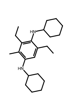 CCc1cc(NC2CCCCC2)c(C)c(CC)c1NC1CCCCC1